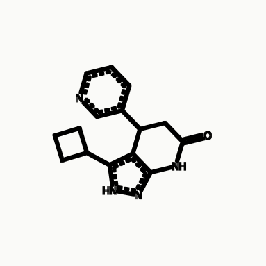 O=C1CC(c2cccnc2)c2c(n[nH]c2C2CCC2)N1